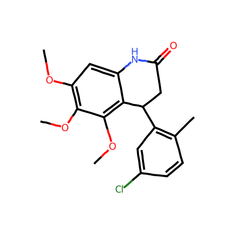 COc1cc2c(c(OC)c1OC)C(c1cc(Cl)ccc1C)CC(=O)N2